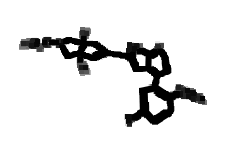 COc1ccc(F)cc1-c1ccnc2[nH]c(C3=C[C@@H]4CN(C(=O)O)C[C@@H]4C3)cc12